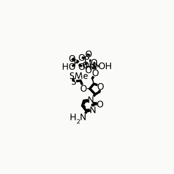 CSSCO[C@H]1C(n2ccc(N)nc2=O)CO[C@@H]1COP(=O)(O)OP(=O)(O)OP(=O)(O)O